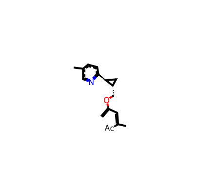 C=C(/C=C(/C)C(C)=O)OC[C@H]1C[C@@H]1c1ccc(C)cn1